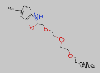 C#Cc1ccc(NC(O)COCCOCCOCCOC)cc1